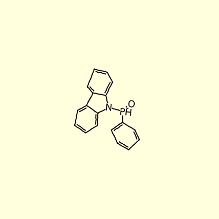 O=[PH](c1ccccc1)n1c2ccccc2c2ccccc21